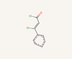 O=C(Cl)C=C(Cl)c1ccccc1